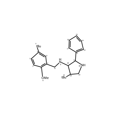 COc1ccc(C(C)(C)C)cc1CNC1C(c2ccccc2)NCC1C(C)(C)C